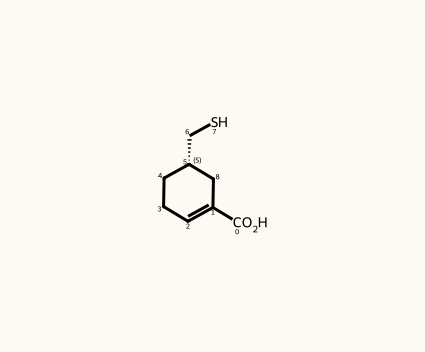 O=C(O)C1=CCC[C@H](CS)C1